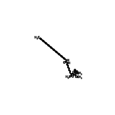 B[C@@H]1O[C@H](COC)C(OP(=O)(O)OC)[C@@H]1CCCCCCCNC(=O)NC#CC#CC#CC#CC#CC#CC#CC#CC#CC#CC